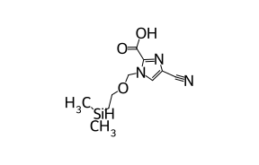 C[SiH](C)CCOCn1cc(C#N)nc1C(=O)O